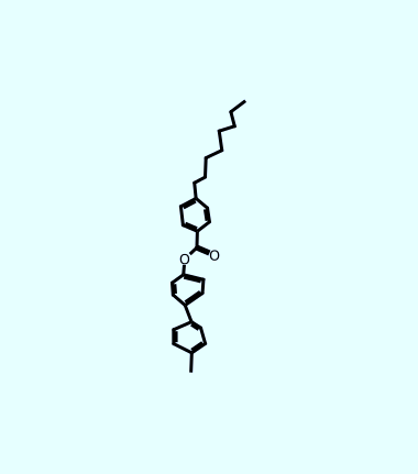 CCCCCCCCc1ccc(C(=O)Oc2ccc(-c3ccc(C)cc3)cc2)cc1